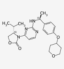 CC(C)[C@H]1COC(=O)N1c1ccnc(N[C@@H](C)c2ccc(OC3CCOCC3)cc2)n1